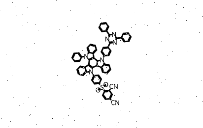 N#Cc1ccc(S(=O)(=O)c2ccc(-n3c4c(c5ccccc53)-c3c(c5ccccc5n3-c3ccccc3)C3C4c4ccccc4N3c3ccc(-c4nc(-c5ccccc5)nc(-c5ccccc5)n4)cc3)cc2)c(C#N)c1